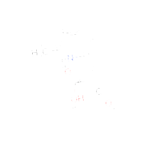 Cc1cccc(CC(=C=O)C(=O)O)n1